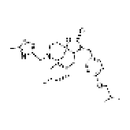 Cc1nc(CN2CCC3(CC2)OC(=O)N(Cc2ccc(OCC(C)C)cc2)C3Cc2ccc(F)cc2)cs1